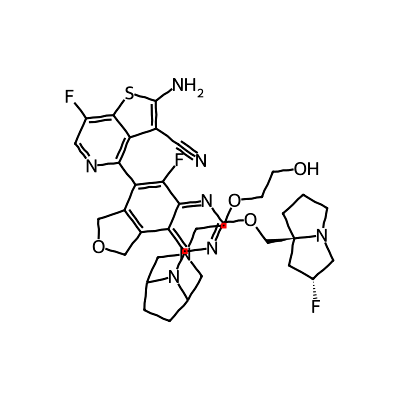 N#Cc1c(N)sc2c(F)cnc(-c3c4c(c5c(N6C7CCC6CN(CCOCCO)C7)nc(OC[C@@]67CCCN6C[C@H](F)C7)nc5c3F)COC4)c12